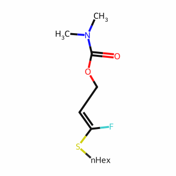 CCCCCCSC(F)=CCOC(=O)N(C)C